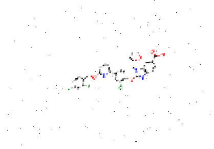 O=C(O)c1ccc2nc(Oc3ccc(-c4cccc(OCc5ccc(Cl)cc5F)n4)cc3Cl)n(C[C@@H]3CCCO3)c2c1